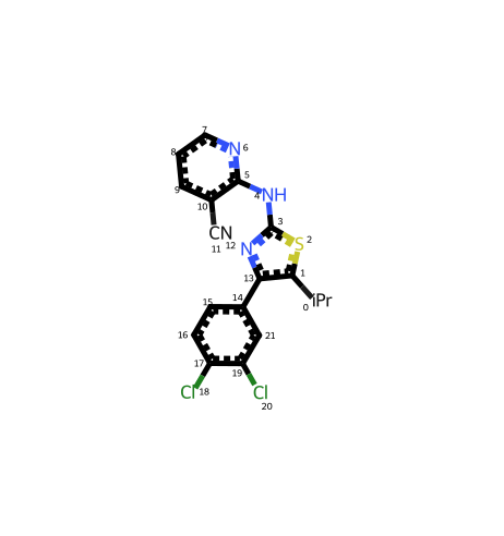 CC(C)c1sc(Nc2ncccc2C#N)nc1-c1ccc(Cl)c(Cl)c1